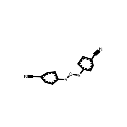 N#Cc1ccc(SOSc2ccc(C#N)cc2)cc1